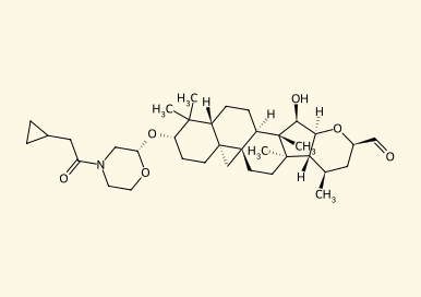 C[C@@H]1C[C@H](C=O)O[C@H]2[C@H]1[C@@]1(C)CC[C@@]34C[C@@]35CC[C@H](O[C@H]3CN(C(=O)CC6CC6)CCO3)C(C)(C)[C@@H]5CC[C@H]4[C@]1(C)[C@H]2O